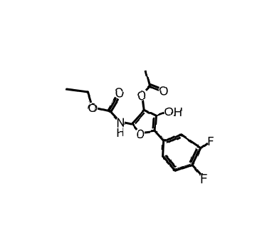 CCOC(=O)Nc1oc(-c2ccc(F)c(F)c2)c(O)c1OC(C)=O